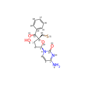 Nc1ccn([C@H]2C[C@H](O)[C@](C=S)(C(=O)c3ccccc3)O2)c(=O)n1